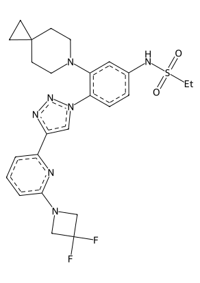 CCS(=O)(=O)Nc1ccc(-n2cc(-c3cccc(N4CC(F)(F)C4)n3)nn2)c(N2CCC3(CC2)CC3)c1